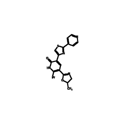 CC1CN=C(c2cc(-c3csc(-c4ccncc4)n3)c(=O)[nH]c2C(C)C)O1